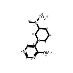 COc1ncncc1N1CCCC(N(C)C(=O)O)C1